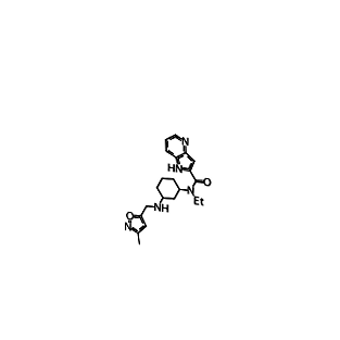 CCN(C(=O)c1cc2ncccc2[nH]1)C1CCCC(NCc2cc(C)no2)C1